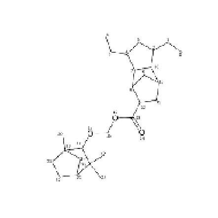 CCC1CC(CC)C2C3CC(CC3C(=O)OCOC3C4(C)CCC(C4)C3(C)C)C12